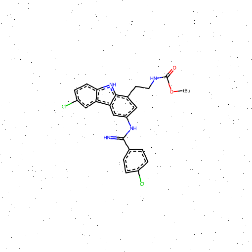 CC(C)(C)OC(=O)NCCc1cc(NC(=N)c2ccc(Cl)cc2)cc2c1[nH]c1ccc(Cl)cc12